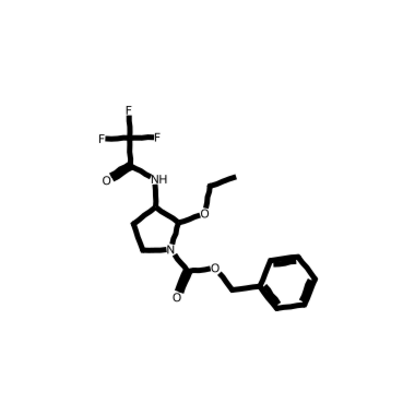 CCOC1C(NC(=O)C(F)(F)F)CCN1C(=O)OCc1ccccc1